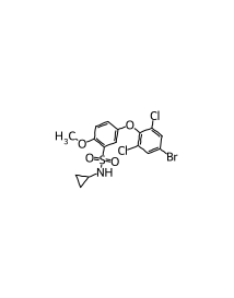 COc1ccc(Oc2c(Cl)cc(Br)cc2Cl)cc1S(=O)(=O)NC1CC1